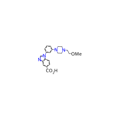 COCCN1CCN(c2cccc(-n3cnc4cc(C(=O)O)ccc43)c2)CC1